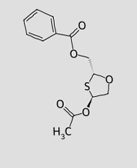 CC(=O)O[C@@H]1CO[C@@H](COC(=O)c2ccccc2)S1